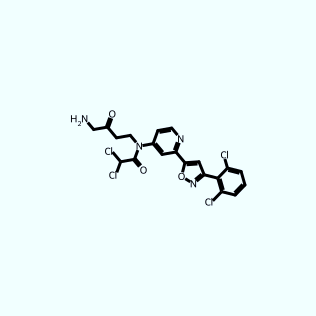 NCC(=O)CCN(C(=O)C(Cl)Cl)c1ccnc(-c2cc(-c3c(Cl)cccc3Cl)no2)c1